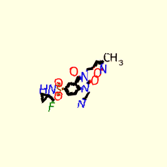 Cc1cc(Cn2c(=O)c3cc(S(=O)(=O)NC4(CF)CC4)ccc3n(CC#N)c2=O)on1